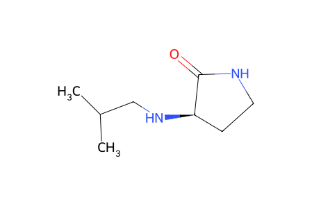 CC(C)CN[C@@H]1CCNC1=O